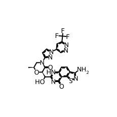 C[C@H]1CN(c2ccn(-c3cnnc(C(F)(F)F)c3)n2)C(=O)[C@@H](C(O)c2nc(=O)c3c(ccc4c(N)nsc43)[nH]2)O1